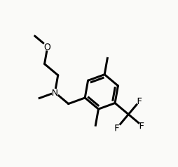 COCCN(C)Cc1cc(C)cc(C(F)(F)F)c1C